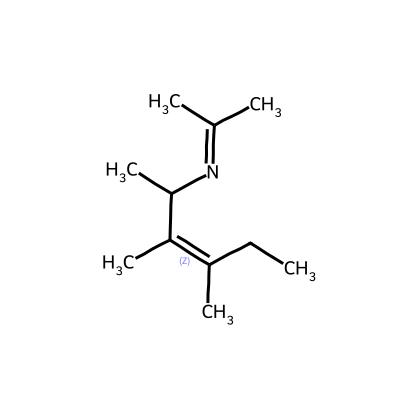 CC/C(C)=C(/C)C(C)N=C(C)C